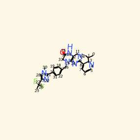 CC(C)c1ncccc1-c1ncc2c(n1)N(Cc1ccc(-c3nc(C(C)(F)F)cn3C)cc1)CC(=O)N2